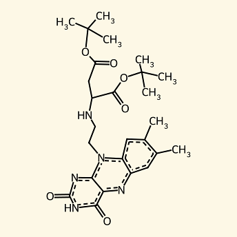 Cc1cc2nc3c(=O)[nH]c(=O)nc-3n(CCNC(CC(=O)OC(C)(C)C)C(=O)OC(C)(C)C)c2cc1C